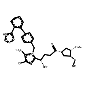 CCC[C@@H](CCC(=O)[C@@H]1C[C@H](OC)[C@@H](O[N+](=O)[O-])C1)c1nc(Cl)c(C(=O)O)n1Cc1ccc(-c2ccccc2-c2nnn[nH]2)cc1